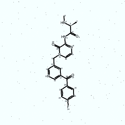 CN[C@@H](C)C(=O)Nc1nccn(Cc2cncc(C(=O)c3ccc(F)cc3)c2)c1=O